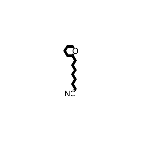 N#CCCCCCCCC1CCCCO1